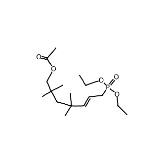 CCOP(=O)(CC=CC(C)(C)CC(C)(C)COC(C)=O)OCC